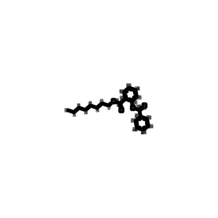 CCCCCCCCOC(=O)c1ccccc1OC(=O)c1ccccc1